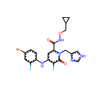 O=C(NOCC1CC1)c1cc(Nc2ccc(Br)cc2F)c(F)c(=O)n1Cc1c[nH]cn1